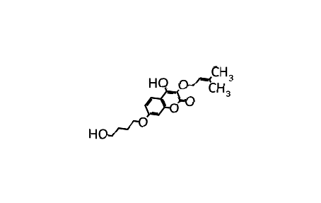 CC(C)=CCOc1c(O)c2ccc(OCCCCO)cc2oc1=O